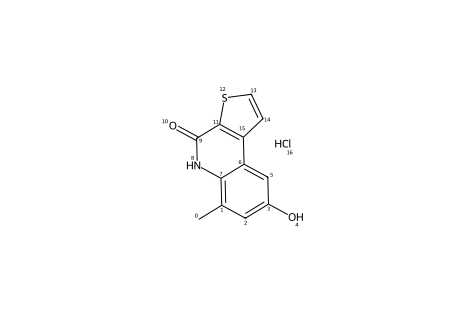 Cc1cc(O)cc2c1[nH]c(=O)c1sccc12.Cl